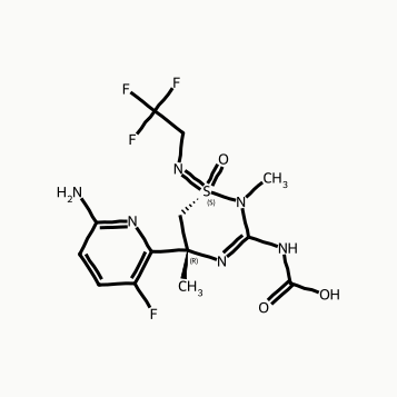 CN1C(NC(=O)O)=N[C@](C)(c2nc(N)ccc2F)C[S@@]1(=O)=NCC(F)(F)F